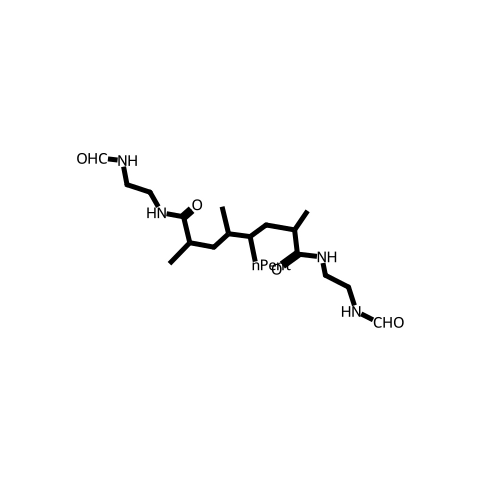 CCCCCC(CC(C)C(=O)NCCNC=O)C(C)CC(C)C(=O)NCCNC=O